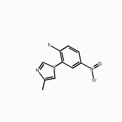 Cc1cn(-c2cc([N+](=O)[O-])ccc2F)cn1